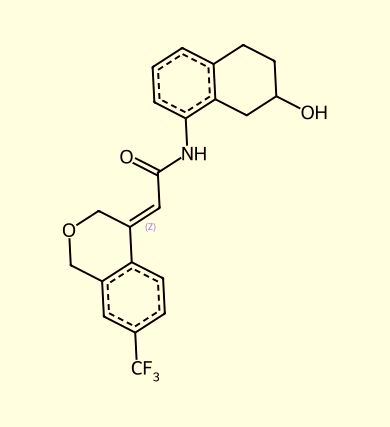 O=C(/C=C1\COCc2cc(C(F)(F)F)ccc21)Nc1cccc2c1CC(O)CC2